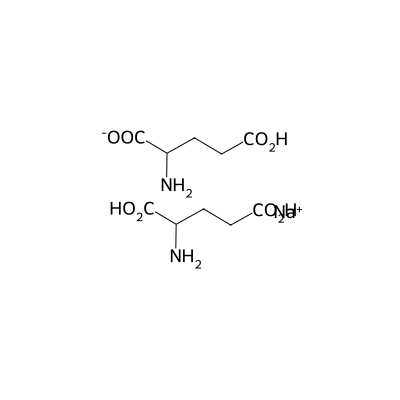 NC(CCC(=O)O)C(=O)O.NC(CCC(=O)O)C(=O)[O-].[Na+]